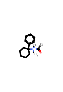 CCC(=O)[N+](C)(C)C1(c2ccccc2)CCCCC1